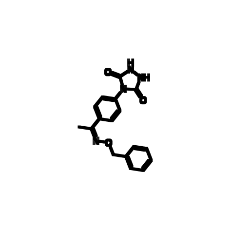 CC(=NOCc1ccccc1)c1ccc(-n2c(=O)[nH][nH]c2=O)cc1